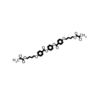 C=C(Cl)C(=O)OCCCCOc1ccc(C(=O)Oc2ccc(OC(=O)c3ccc(OCCCCOC(=O)C(=C)Cl)cc3)cc2)cc1